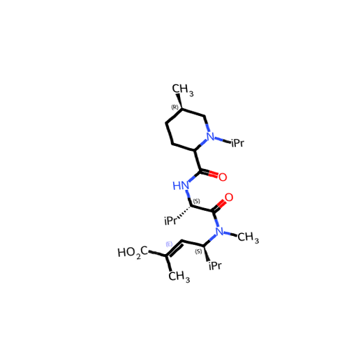 C/C(=C\[C@H](C(C)C)N(C)C(=O)[C@@H](NC(=O)C1CC[C@@H](C)CN1C(C)C)C(C)C)C(=O)O